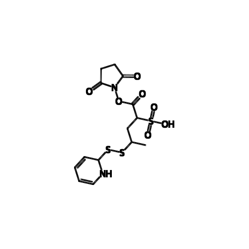 CC(CC(C(=O)ON1C(=O)CCC1=O)S(=O)(=O)O)SSC1C=CC=CN1